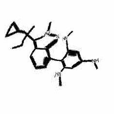 [CH2]CC(C)(c1c2cccc(-c3c(NC)cc(NC)cc3NC)c2nn1C)C1CC1